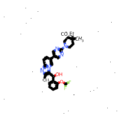 CCOC(=O)C1(C)CCN(c2ncc(-c3ccc4nc(C)c(C(O)c5ccccc5OC(F)F)n4c3)cn2)CC1